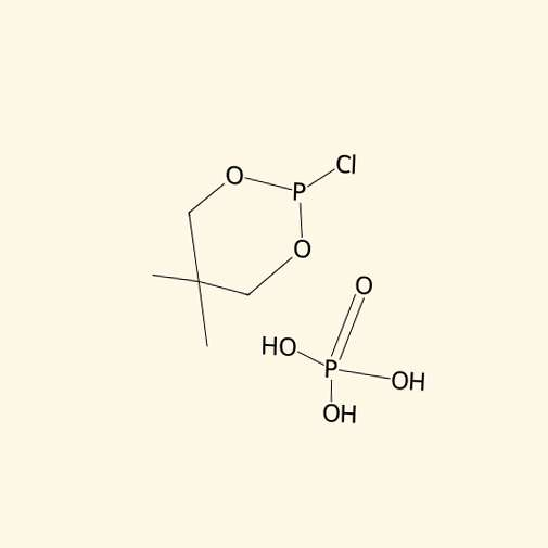 CC1(C)COP(Cl)OC1.O=P(O)(O)O